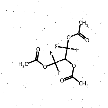 CC(=O)OC(C(F)(F)OC(C)=O)C(F)(F)OC(C)=O